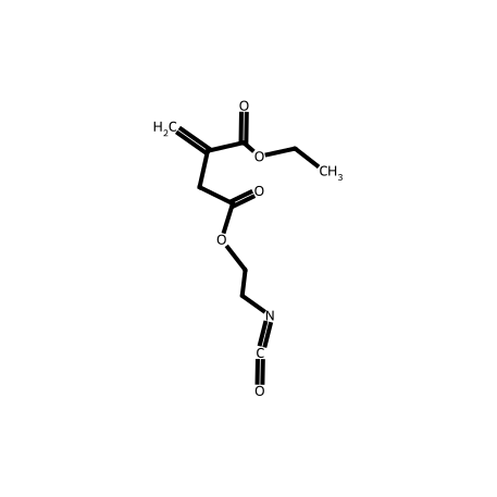 C=C(CC(=O)OCCN=C=O)C(=O)OCC